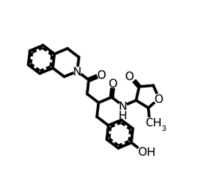 CC1OCC(=O)C1NC(=O)C(CC(=O)N1CCc2ccccc2C1)Cc1ccc(O)cc1